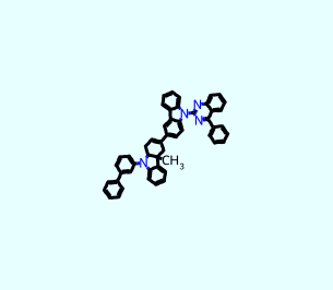 CC12CC(c3ccc4c(c3)c3ccccc3n4-c3nc(-c4ccccc4)c4ccccc4n3)=CCC1N(c1cccc(-c3ccccc3)c1)c1ccccc12